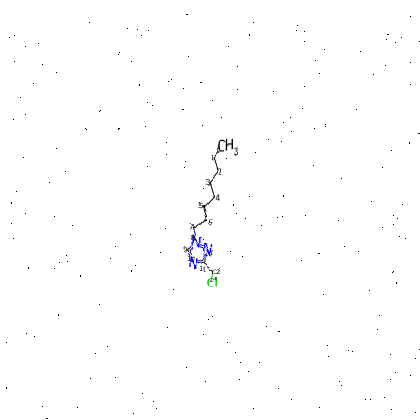 CCCCCCCCn1cnc(CCl)n1